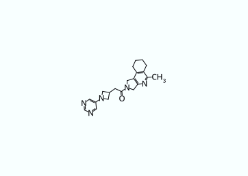 Cc1nc2c(c3c1CCCC3)CN(C(=O)CC1CN(c3cncnc3)C1)C2